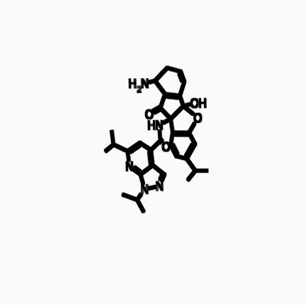 CC(C)c1ccc2c(c1)OC1(O)C3=C(C(=O)C21NC(=O)c1cc(C(C)C)nc2c1cnn2C(C)C)C(N)CC=C3